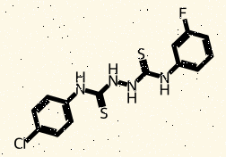 Fc1cccc(NC(=S)NNC(=S)Nc2ccc(Cl)cc2)c1